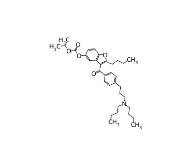 CCCCc1oc2ccc(OC(=O)OC(C)C)cc2c1C(=O)c1ccc(CCCN(CCCC)CCCC)cc1